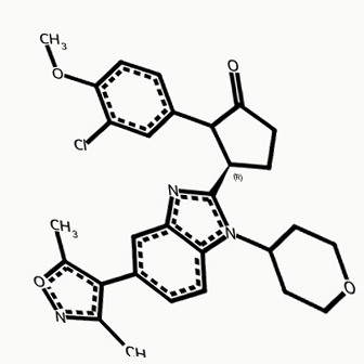 COc1ccc(C2C(=O)CC[C@H]2c2nc3cc(-c4c(C)noc4C)ccc3n2C2CCOCC2)cc1Cl